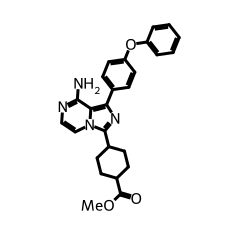 COC(=O)C1CCC(c2nc(-c3ccc(Oc4ccccc4)cc3)c3c(N)nccn23)CC1